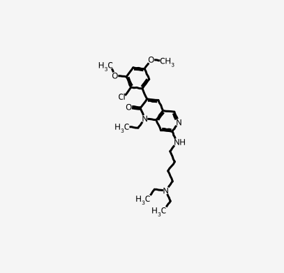 CCN(CC)CCCCNc1cc2c(cn1)cc(-c1cc(OC)cc(OC)c1Cl)c(=O)n2CC